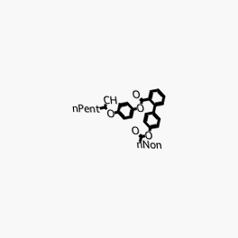 CCCCCCCCCC(=O)Oc1ccc(-c2ccccc2C(=O)Oc2ccc(OC(C)CCCCC)cc2)cc1